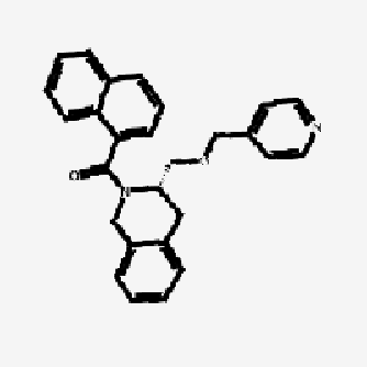 O=C(c1cccc2ccccc12)N1Cc2ccccc2C[C@H]1COCc1ccncc1